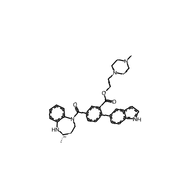 C[C@H]1CCN(C(=O)c2ccc(-c3ccc4[nH]ccc4c3)c(C(=O)OCCN3CCN(C)CC3)c2)c2ccccc2N1